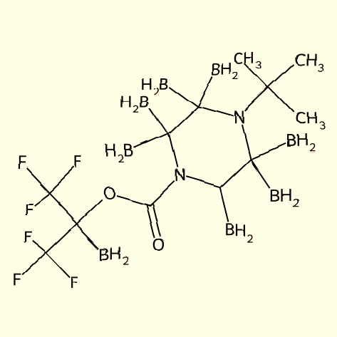 BC1N(C(=O)OC(B)(C(F)(F)F)C(F)(F)F)C(B)(B)C(B)(B)N(C(C)(C)C)C1(B)B